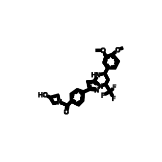 COc1ccc(C2CC(C(F)(F)F)n3nc(-c4ccc(C(=O)N5CC(O)C5)cc4)cc3N2)cc1OC